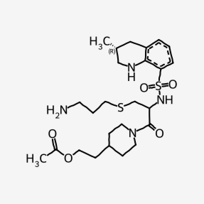 CC(=O)OCCC1CCN(C(=O)C(CSCCCN)NS(=O)(=O)c2cccc3c2NC[C@H](C)C3)CC1